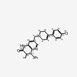 CC(C)N1c2ncc(CN3CC=C(c4ccc(Cl)cc4)CC3)cc2NC(=O)C1C